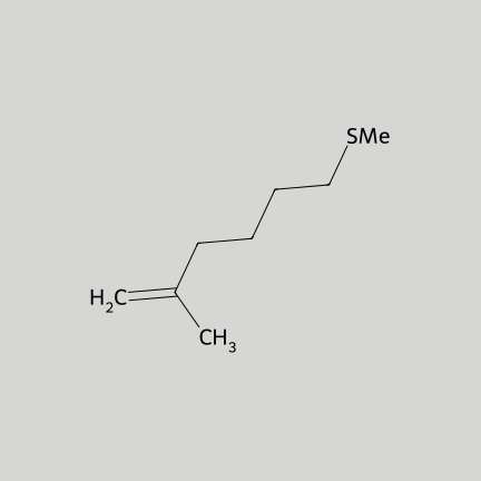 C=C(C)CCCCSC